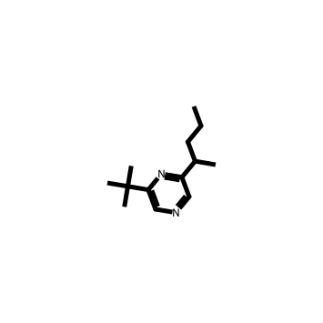 CCCC(C)c1cncc(C(C)(C)C)n1